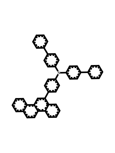 c1ccc(-c2ccc(N(c3ccc(-c4ccccc4)cc3)c3ccc(-c4cc5c6ccccc6ccc5c5ccccc45)cc3)cc2)cc1